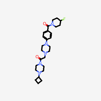 O=C(CN1CCN(c2ccc(C(=O)N3CCC(F)CC3)cc2)CC1)N1CCN(C2CCC2)CC1